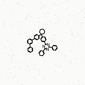 C1=CC(c2nc(-c3ccccc3)nc(-c3ccc(C4(c5ccc(-c6cccc(-c7ccccc7)c6)cc5)CCCCC4)cc3)n2)=CCC1